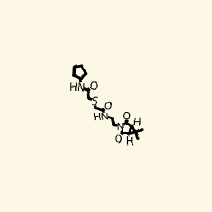 CC1(C)[C@@H]2C(=O)N(CCNC(=O)CSCC(=O)NC3CCCC3)C(=O)[C@@H]21